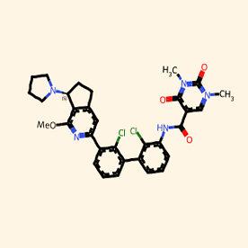 COc1nc(-c2cccc(-c3cccc(NC(=O)c4cn(C)c(=O)n(C)c4=O)c3Cl)c2Cl)cc2c1[C@@H](N1CCCC1)CC2